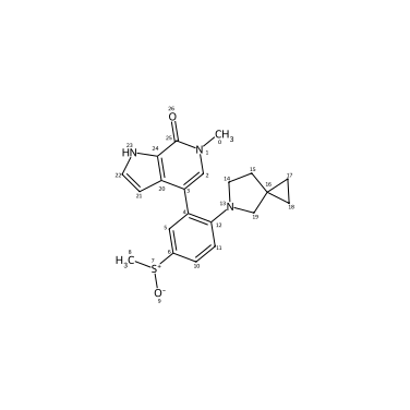 Cn1cc(-c2cc([S+](C)[O-])ccc2N2CCC3(CC3)C2)c2cc[nH]c2c1=O